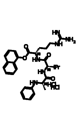 CC(C)[C@H](NC(=O)[C@H](C)Nc1ccccc1)C(=O)N[C@@H](CCCNC(=N)N)C(=O)Oc1cccc2ccccc12.Cl.Cl